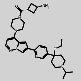 CCOC1(c2ccc(-c3cc4c(N5CCN(C(=O)[C@H]6C[C@H](N)C6)CC5)ccnn4c3)nc2)CCN(C(C)C)CC1